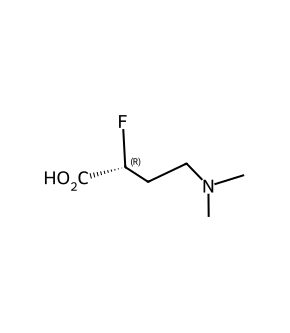 CN(C)CC[C@@H](F)C(=O)O